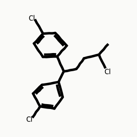 CC(Cl)CCC(c1ccc(Cl)cc1)c1ccc(Cl)cc1